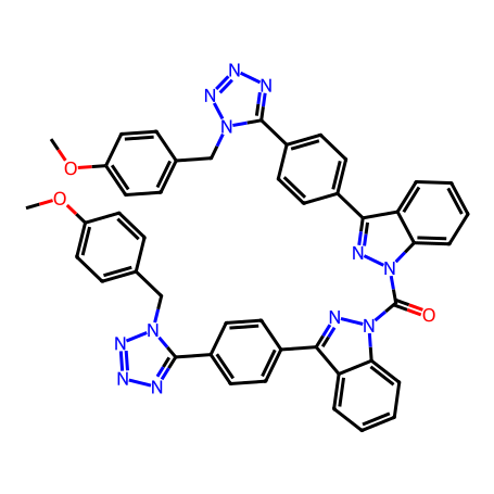 COc1ccc(Cn2nnnc2-c2ccc(-c3nn(C(=O)n4nc(-c5ccc(-c6nnnn6Cc6ccc(OC)cc6)cc5)c5ccccc54)c4ccccc34)cc2)cc1